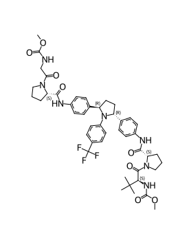 COC(=O)NCC(=O)N1CCC[C@H]1C(=O)Nc1ccc([C@H]2CC[C@H](c3ccc(NC(=O)[C@@H]4CCCN4C(=O)[C@@H](NC(=O)OC)C(C)(C)C)cc3)N2c2ccc(C(F)(F)F)cc2)cc1